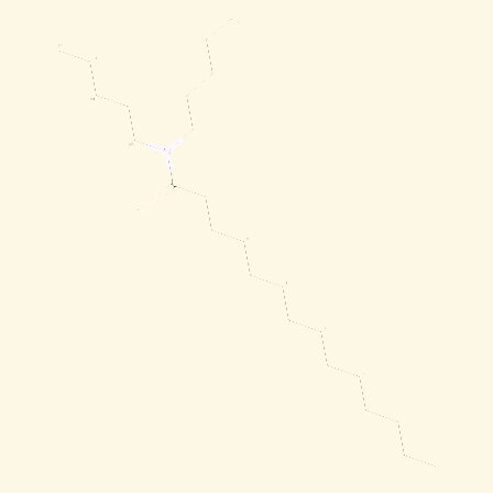 CCCCCCCCCCCCCC(=O)N(CCCCC)CCCCC